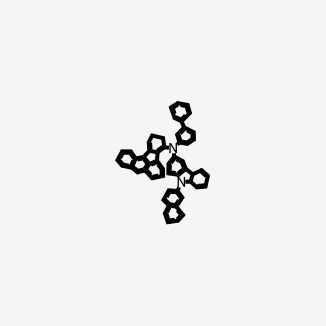 C1=CC2c3cc(N(C4=C5C(=CCC4)c4c6ccccc6cc6cccc5c46)c4cccc(-c5ccccc5)c4)ccc3N(c3ccc4ccccc4c3)C2C=C1